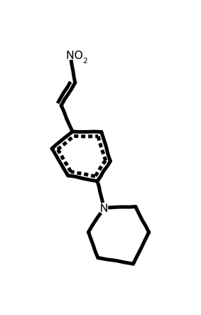 O=[N+]([O-])/C=C/c1ccc(N2CCCCC2)cc1